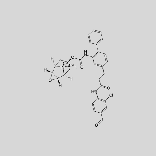 C[N+]1(C)[C@@H]2C[C@@H](OC(=O)Nc3cc(CCC(=O)Nc4ccc(C=O)cc4Cl)ccc3-c3ccccc3)C[C@H]1[C@@H]1O[C@@H]12